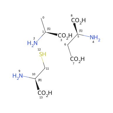 C[C@H](N)C(=O)O.N[C@@H](CC(=O)O)C(=O)O.N[C@@H](CS)C(=O)O